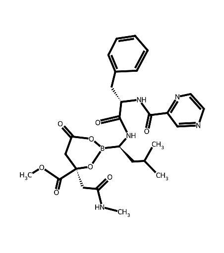 CNC(=O)C[C@]1(C(=O)OC)CC(=O)OB([C@H](CC(C)C)NC(=O)[C@H](Cc2ccccc2)NC(=O)c2cnccn2)O1